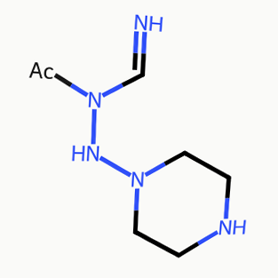 CC(=O)N(C=N)NN1CCNCC1